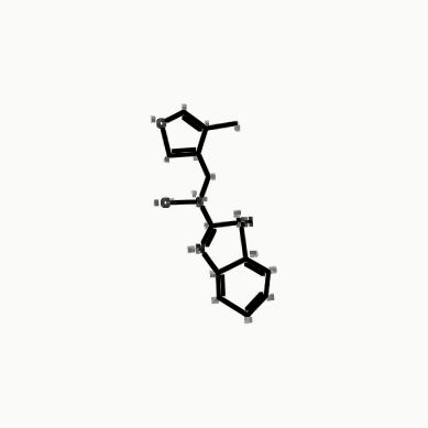 Cc1cocc1C[S+]([O-])c1nc2ccccc2[nH]1